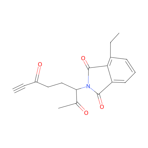 C#CC(=O)CCC(C(C)=O)N1C(=O)c2cccc(CC)c2C1=O